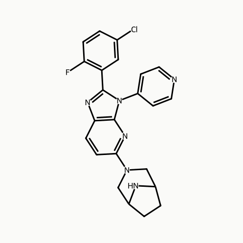 Fc1ccc(Cl)cc1-c1nc2ccc(N3CC4CCC(C3)N4)nc2n1-c1ccncc1